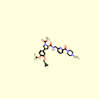 CC(=O)N1CC(c2ccc(OC(F)F)c(OCC3CC3)c2)C[C@@H]1C(=O)NCc1cccc(C(=O)N2CCN(C)CC2)n1